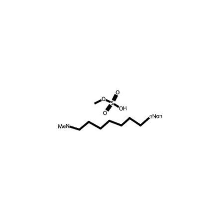 CCCCCCCCCCCCCCCCNC.COS(=O)(=O)O